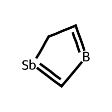 B1=C[CH2][Sb]=[CH]1